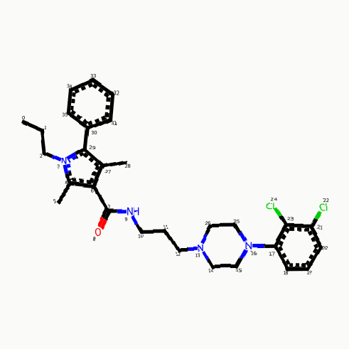 CCCn1c(C)c(C(=O)NCCCN2CCN(c3cccc(Cl)c3Cl)CC2)c(C)c1-c1ccccc1